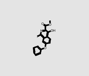 COC(=O)c1nc(I)c2cc(Oc3ccccc3)ccc2c1O